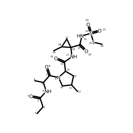 CCC(=O)NC(C)C(=O)N1CC(C)CC1C(=O)NC1(C(=O)NS(=O)(=O)SC)CC1C